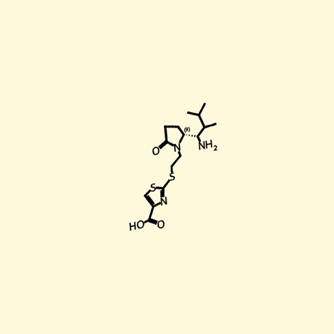 CC(C)C(C)C(N)[C@H]1CCC(=O)N1CCSc1nc(C(=O)O)cs1